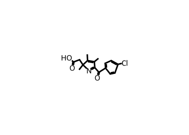 CC1=C(C)C(C)(CC(=O)O)N=C1C(=O)c1ccc(Cl)cc1